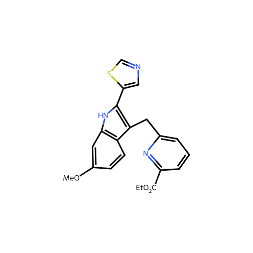 CCOC(=O)c1cccc(Cc2c(-c3cncs3)[nH]c3cc(OC)ccc23)n1